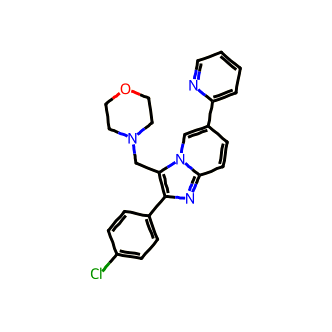 Clc1ccc(-c2nc3ccc(-c4ccccn4)cn3c2CN2CCOCC2)cc1